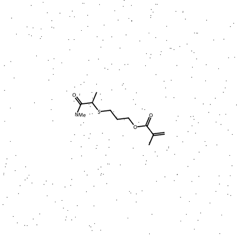 C=C(C)C(=O)OCCCSC(C)C(=O)NC